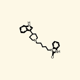 O=c1[nH]c2ccccc2n1CCCCCN1CCC(c2c[nH]c3ccccc23)CC1